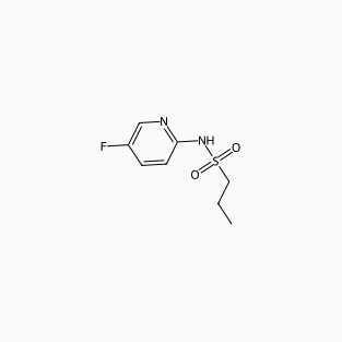 CCCS(=O)(=O)Nc1ccc(F)cn1